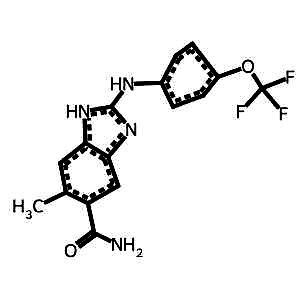 Cc1cc2[nH]c(Nc3ccc(OC(F)(F)F)cc3)nc2cc1C(N)=O